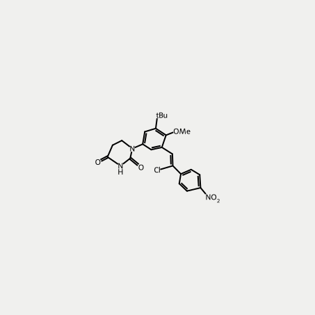 COc1c(C=C(Cl)c2ccc([N+](=O)[O-])cc2)cc(N2CCC(=O)NC2=O)cc1C(C)(C)C